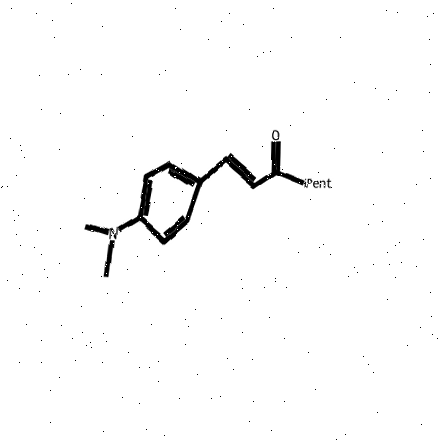 CCCC(C)C(=O)/C=C/c1ccc(N(C)C)cc1